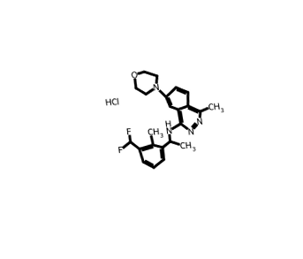 Cc1c(C(F)F)cccc1C(C)Nc1nnc(C)c2ccc(N3CCOCC3)cc12.Cl